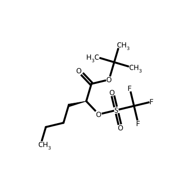 CCCC[C@H](OS(=O)(=O)C(F)(F)F)C(=O)OC(C)(C)C